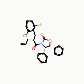 C=CC[C@H](Cc1c(F)cccc1Cl)C(=O)N1C(=O)O[C@H](c2ccccc2)[C@@H]1c1ccccc1